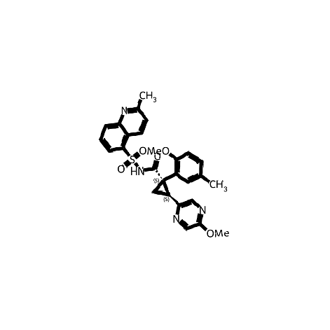 COc1cnc([C@H]2C[C@@]2(C(=O)NS(=O)(=O)c2cccc3nc(C)ccc23)c2cc(C)ccc2OC)cn1